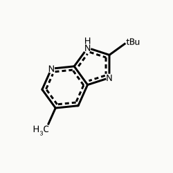 Cc1cnc2[nH]c(C(C)(C)C)nc2c1